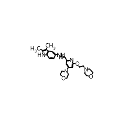 Cc1[nH]c2ccc(NN=Cc3cc(N4CCOCC4)cc(OCCN4CCOCC4)n3)cc2c1C